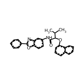 CC(C)C(Oc1cccc2ccccc12)C(=O)Nc1ccc2oc(-c3ccccc3)nc2c1